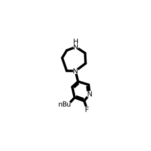 CCCCc1cc(N2CCCNCC2)cnc1F